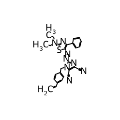 C=Cc1ccc(Cn2c(/N=N/c3sc(N(CC)CC)nc3-c3ccccc3)nc(C#N)c2C#N)cc1